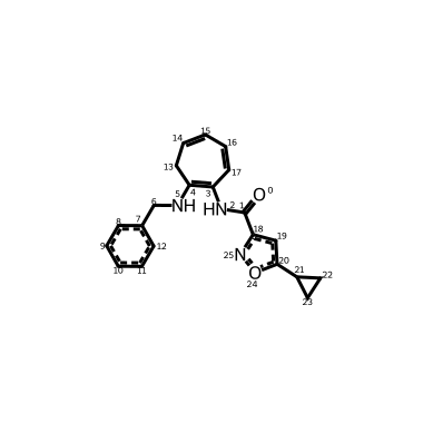 O=C(NC1=C(NCc2ccccc2)CC=CC=C1)c1cc(C2CC2)on1